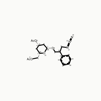 CC(=O)OC[C@@H]1C[C@H](OC(C)=O)C[C@H](OCC(CN=[N+]=[N-])c2ccccc2)O1